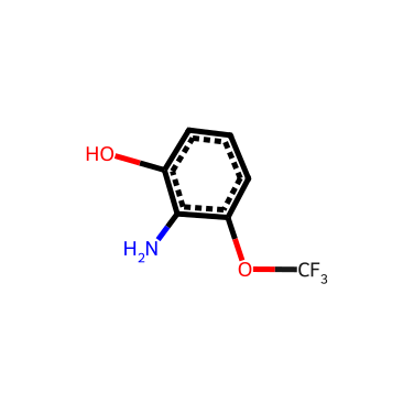 Nc1c(O)cccc1OC(F)(F)F